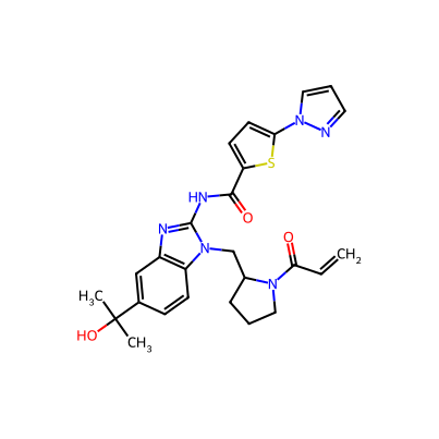 C=CC(=O)N1CCCC1Cn1c(NC(=O)c2ccc(-n3cccn3)s2)nc2cc(C(C)(C)O)ccc21